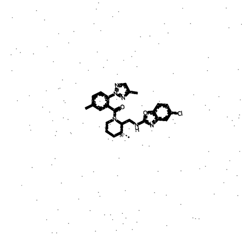 Cc1ccc(-n2ncc(C)n2)c(C(=O)N2CCC[C@@H](C)C2CNc2nc3cc(Cl)ccc3o2)c1